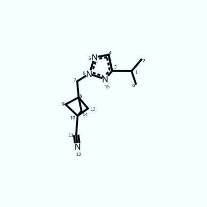 CC(C)c1cnn(CC23CC(C#N)(C2)C3)n1